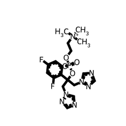 C[N+](C)(C)CCOP(=O)([O-])OC(Cn1cncn1)(Cn1cncn1)c1ccc(F)cc1F